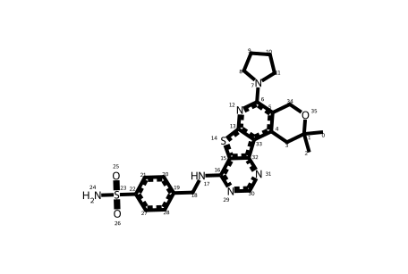 CC1(C)Cc2c(c(N3CCCC3)nc3sc4c(NCc5ccc(S(N)(=O)=O)cc5)ncnc4c23)CO1